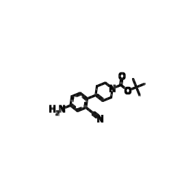 CC(C)(C)OC(=O)N1CC=C(c2ccc(N)cc2C#N)CC1